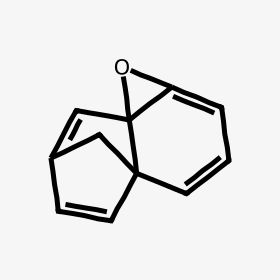 C1=CC23C=CC(=CC24OC4=C1)C3